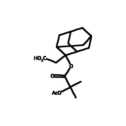 CC(=O)OC(C)(C)C(=O)OC1(CC(=O)O)C2CC3CC(C2)CC1C3